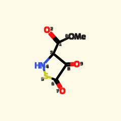 COC(=O)C1NSC(=O)C1=O